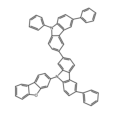 c1ccc(-c2ccc3c(c2)c2cc(-c4ccc5c6cc(-c7ccccc7)ccc6n(-c6ccc7c(c6)oc6ccccc67)c5c4)ccc2n3-c2ccccc2)cc1